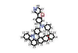 c1ccc(-c2cccc(N(c3ccc(-n4c5ccccc5c5ccccc54)c(-c4cccc5ccccc45)c3)c3ccc4c(c3)oc3ccncc34)c2)cc1